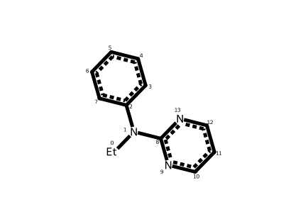 CCN(c1ccccc1)c1ncccn1